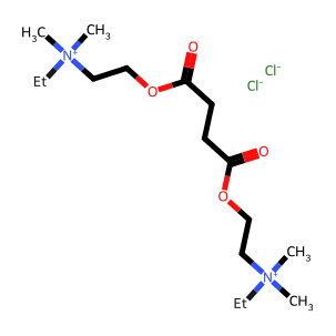 CC[N+](C)(C)CCOC(=O)CCC(=O)OCC[N+](C)(C)CC.[Cl-].[Cl-]